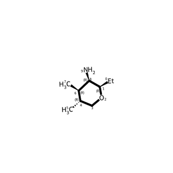 CC[C@H]1OC[C@H](C)[C@@H](C)[C@H]1N